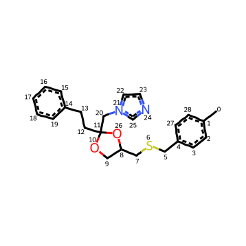 Cc1ccc(CSCC2COC(CCc3ccccc3)(Cn3ccnc3)O2)cc1